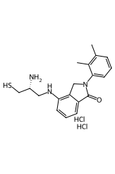 Cc1cccc(N2Cc3c(NC[C@@H](N)CS)cccc3C2=O)c1C.Cl.Cl